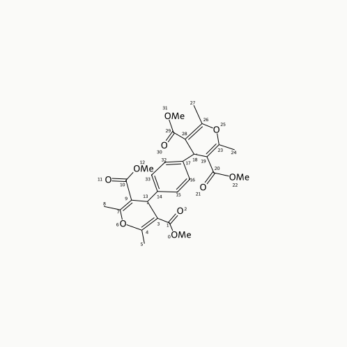 COC(=O)C1=C(C)OC(C)=C(C(=O)OC)[C]1c1ccc([C]2C(C(=O)OC)=C(C)OC(C)=C2C(=O)OC)cc1